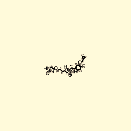 C[C@@H](NS(=O)(=O)CCCCCOC1=NC(=O)NC1)c1ccc(F)c(OCC2CC2)c1